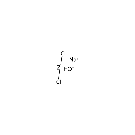 [Cl][Zn][Cl].[Na+].[OH-]